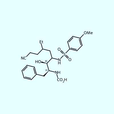 CCC(CCC#N)CC(NS(=O)(=O)c1ccc(OC)cc1)[C@H](O)[C@H](Cc1ccccc1)NC(=O)O